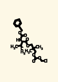 CC(C)[C@H](NC(=O)OCc1ccccc1)C(=O)OCC(C)(C)COC(=O)OCCl